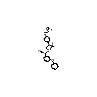 CCOc1ccc(C(CO[C@H](C#N)c2cccc(Oc3ccccc3)c2)C(F)(F)F)cc1